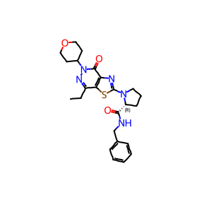 CCc1nn(C2CCOCC2)c(=O)c2nc(N3CCC[C@@H]3C(=O)NCc3ccccc3)sc12